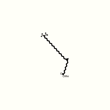 COC(=O)CCCCCCCC1CC1CCCCCCCCCCCCCCCCCC(N(C)C)N(C)C